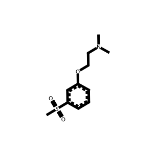 CN(C)CCOc1[c]ccc(S(C)(=O)=O)c1